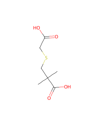 CC(C)(CSCC(=O)O)C(=O)O